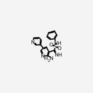 N=C(c1cc(-c2cccnc2)cnc1N)S(=O)(=O)Nc1ccccc1